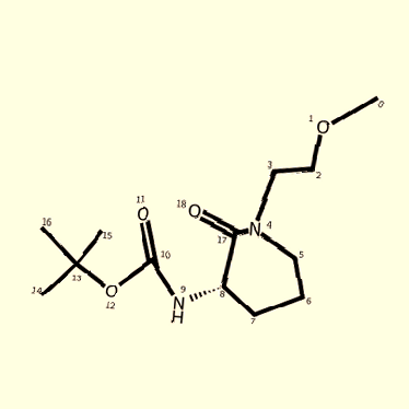 COCCN1CCC[C@H](NC(=O)OC(C)(C)C)C1=O